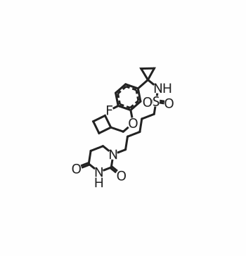 O=C1CCN(CCCCCS(=O)(=O)NC2(c3ccc(F)c(OCC4CCC4)c3)CC2)C(=O)N1